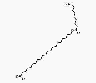 CCCCCCCCCCCCCCCCCC(=O)OCCCCCCCCCCCCCCCCCCCCP(=O)=O